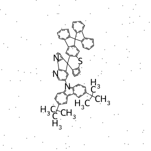 CC(C)(C)c1ccc2c(c1)c1cc(C(C)(C)C)ccc1n2-c1cnc2c(c1)C1(c3ccccc3Sc3cc4c(cc31)-c1ccccc1C41c3ccccc3-c3ccccc31)c1cccnc1-2